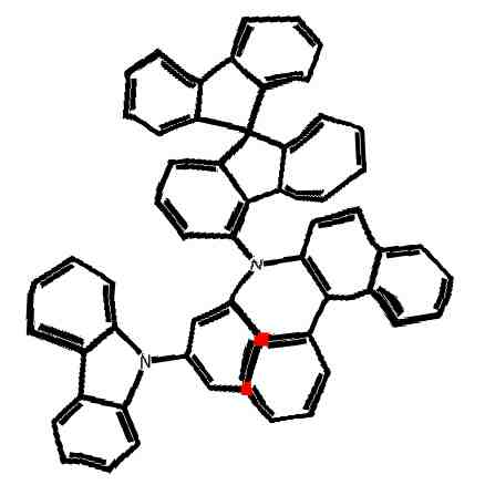 c1ccc(-c2c(N(c3cccc(-n4c5ccccc5c5ccccc54)c3)c3cccc4c3-c3ccccc3C43c4ccccc4-c4ccccc43)ccc3ccccc23)cc1